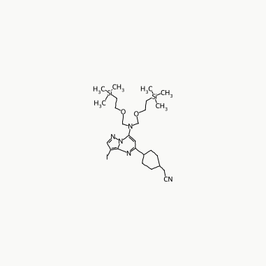 C[Si](C)(C)CCOCN(COCC[Si](C)(C)C)c1cc(C2CCC(CC#N)CC2)nc2c(I)cnn12